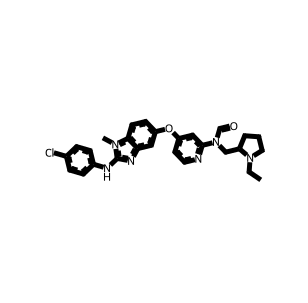 CCN1CCCC1CN(C=O)c1cc(Oc2ccc3c(c2)nc(Nc2ccc(Cl)cc2)n3C)ccn1